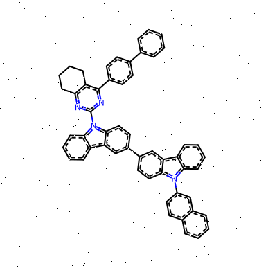 c1ccc(-c2ccc(-c3nc(-n4c5ccccc5c5cc(-c6ccc7c(c6)c6ccccc6n7-c6ccc7ccccc7c6)ccc54)nc4c3CCCC4)cc2)cc1